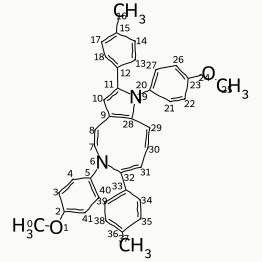 COc1ccc(-n2ccc3cc(-c4ccc(C)cc4)n(-c4ccc(OC)cc4)c3cccc2-c2ccc(C)cc2)cc1